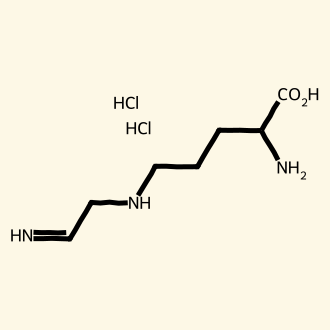 Cl.Cl.N=CCNCCCC(N)C(=O)O